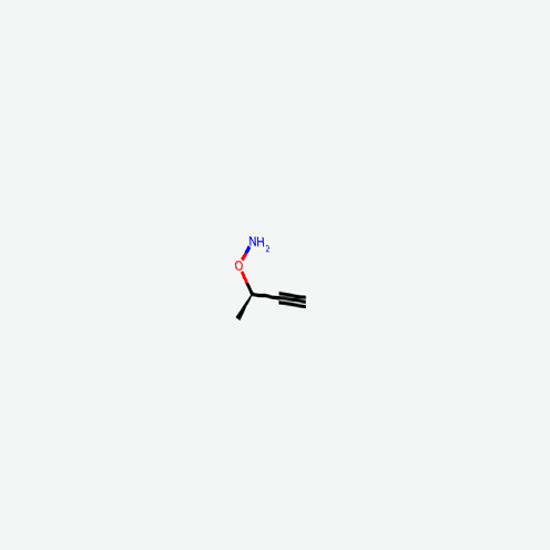 C#C[C@@H](C)ON